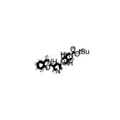 C[C@H](NC(=O)c1cncc(N2C[C@H]3CN(C(=O)OC(C)(C)C)C[C@H]3C2)c1)c1ccccc1